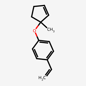 C=Cc1ccc(OC2(C)C=CCC2)cc1